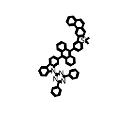 C[Si]1(C)c2ccc(-c3c4ccccc4c(-c4ccc5c6ccccc6n(-c6nc(-c7ccccc7)nc(-c7ccccc7)n6)c5c4)c4ccccc34)cc2-c2cc3c(ccc4ccccc43)cc21